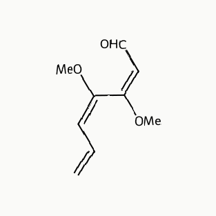 C=C/C=C(OC)\C(=C/C=O)OC